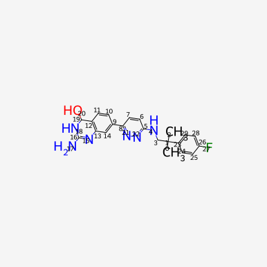 CC(C)(CNc1ccc(-c2ccc3c(c2)N=C(N)NC3O)nn1)c1ccc(F)cc1